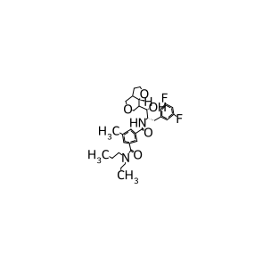 CCCN(CCC)C(=O)c1cc(C)cc(C(=O)N[C@@H](Cc2cc(F)cc(F)c2)[C@@H](O)C2COCC3CCO[C@@H]32)c1